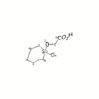 O=C(O)CO[Si]1(Cl)CCCCC1